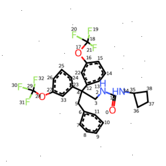 O=C(NCC(Cc1ccccc1)(c1cccc(OC(F)(F)F)c1)c1cccc(OC(F)(F)F)c1)NC1CCC1